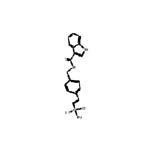 CCC(C)[Si](O)(O)C=Cc1ccc(CNC(=O)c2c[nH]c3ccccc23)cc1